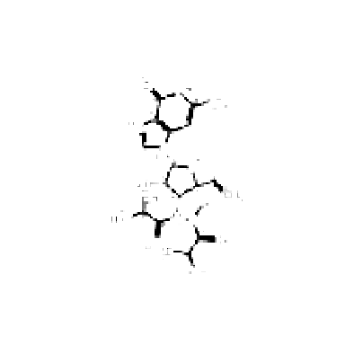 C=C[C@]1(COC(=O)C(C)C)O[C@@H](n2cnc3c(=O)[nH]c(C)cc32)[C@H](F)[C@@H]1OC(=O)C(C)C